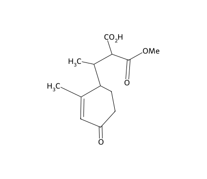 COC(=O)C(C(=O)O)C(C)C1CCC(=O)C=C1C